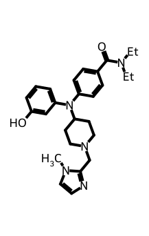 CCN(CC)C(=O)c1ccc(N(c2cccc(O)c2)C2CCN(Cc3nccn3C)CC2)cc1